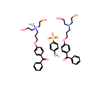 C[N+](CCO)(CCO)CCCOc1ccc(C(=O)c2ccccc2)cc1.Cc1ccc(S(=O)(=O)[O-])cc1.O=C(c1ccccc1)c1ccc(OCCCN(CCO)CCO)cc1